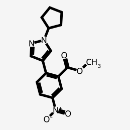 COC(=O)c1cc([N+](=O)[O-])ccc1-c1cnn(C2CCCC2)c1